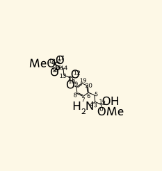 COC(O)C(N)Cc1ccc(OC(=O)CCS(=O)(=O)OC)cc1